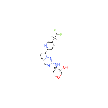 CC(C)(c1ccc(-c2ccc3cnc(N[C@@H]4CCOC[C@H]4O)nn23)nc1)C(F)F